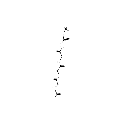 CC(=O)SCC(=O)NCC(=O)NCC(=O)NCC(=O)NC(C)(C)C